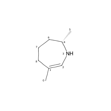 CC1=CN[C@@H](C)CCC1